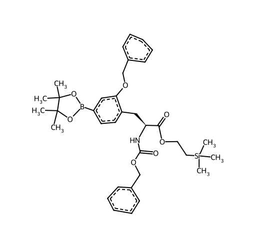 CC1(C)OB(c2ccc(C[C@H](NC(=O)OCc3ccccc3)C(=O)OCC[Si](C)(C)C)c(OCc3ccccc3)c2)OC1(C)C